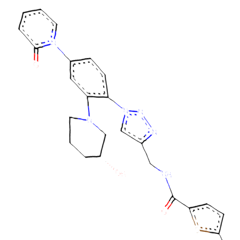 O=C(NCc1cn(-c2ccc(-n3ccccc3=O)cc2N2CCC[C@@H](O)C2)nn1)c1ccc(Cl)s1